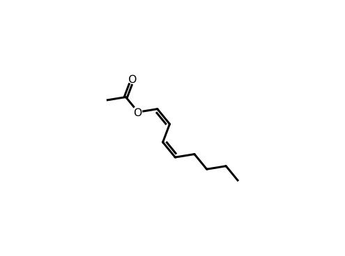 CCCC/C=C\C=C/OC(C)=O